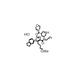 COCCCCc1c(C(=O)N(CC(C)C)[C@@H]2CNC[C@H](C(=O)N3CCOCC3)C2)nnn1-c1ccc2c(c1)CCC2.Cl